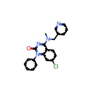 CN(Cc1cccnc1)c1nc(=O)n(-c2ccccc2)c2cc(Cl)ccc12